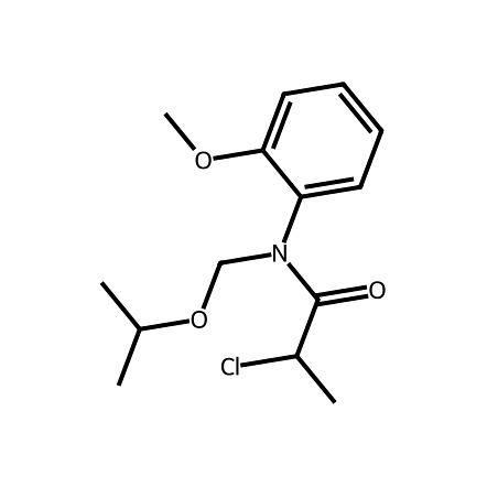 COc1ccccc1N(COC(C)C)C(=O)C(C)Cl